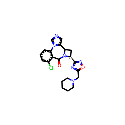 O=C1c2c(Cl)cccc2-n2cncc2C2C[C@@H](c3noc(CN4CCCCC4)n3)N12